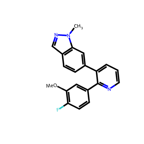 COc1cc(-c2ncccc2-c2ccc3cnn(C)c3c2)ccc1F